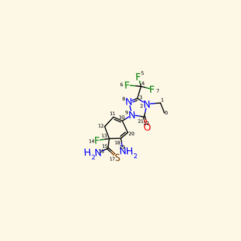 CCn1c(C(F)(F)F)nn(C2=CCC(F)(C(N)=S)C(N)=C2)c1=O